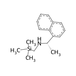 C[C@H](NC[Si](C)(C)C)c1cccc2ccccc12